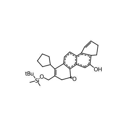 CC(C)(C)[Si](C)(C)OCC1=C(C2CCCC2)c2ccc3c4c(c(O)cc3c2C(=O)C1)CCC=C4